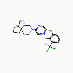 Cc1c(Sc2cnc(N3CCC4(CCC[C@H]4N)CC3)cn2)cccc1C(F)(F)F